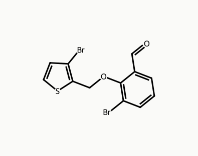 O=Cc1cccc(Br)c1OCc1sccc1Br